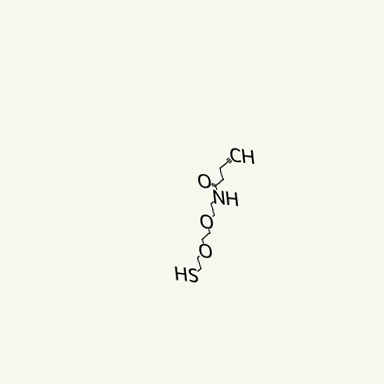 C#CCCC(=O)NCCOCCOCCS